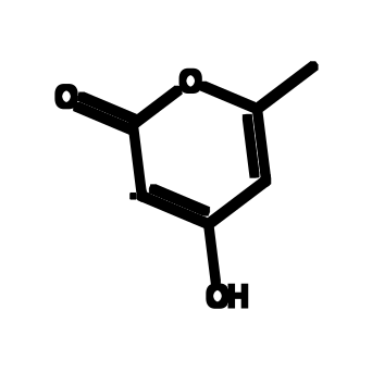 Cc1cc(O)[c]c(=O)o1